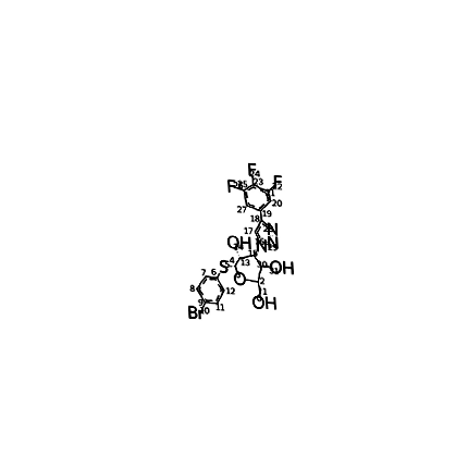 OC[C@H]1O[C@H](Sc2ccc(Br)cc2)[C@H](O)[C@@H](n2cc(-c3cc(F)c(F)c(F)c3)nn2)[C@H]1O